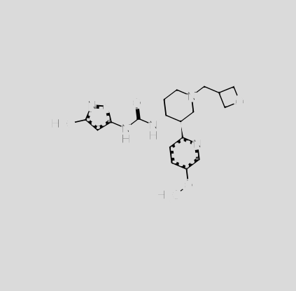 COc1ccc([C@@H]2CN(CC3COC3)CC[C@H]2NC(=O)Nc2cc(C)ns2)nc1